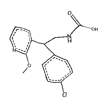 COc1ncccc1C(CNC(=O)O)c1ccc(Cl)cc1